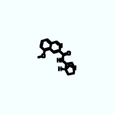 COc1cccc2cnc(C(=O)NC3CN4CC[C@H]3C4)cc12